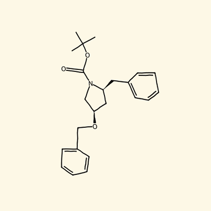 CC(C)(C)OC(=O)N1C[C@H](OCc2ccccc2)C[C@@H]1Cc1ccccc1